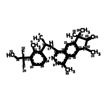 Cc1c([C@@H](C)Nc2nnc(C)c3cc4c(cc23)C(C)(C)C(=O)N4C)cccc1C(F)(F)CO